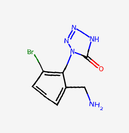 NCc1cccc(Br)c1-n1nn[nH]c1=O